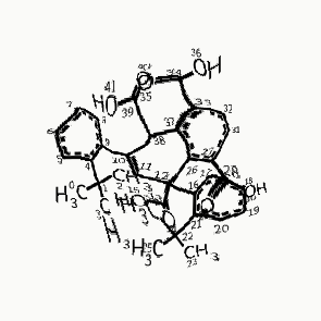 CC(C)(C)c1ccccc1C1=CC(C(=O)O)(c2ccccc2C(C)(C)C)c2c(C(=O)O)ccc(C(=O)O)c2C1C(=O)O